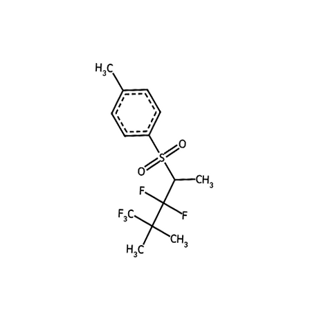 Cc1ccc(S(=O)(=O)C(C)C(F)(F)C(C)(C)C(F)(F)F)cc1